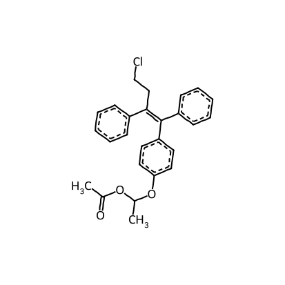 CC(=O)OC(C)Oc1ccc(C(=C(CCCl)c2ccccc2)c2ccccc2)cc1